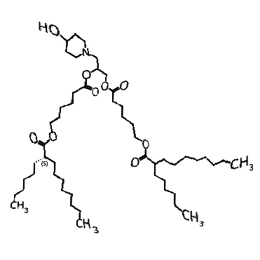 CCCCCCCCC(CCCCCC)C(=O)OCCCCCC(=O)OCC(CN1CCC(O)CC1)OC(=O)CCCCCOC(=O)[C@@H](CCCCCC)CCCCCCCC